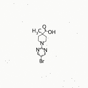 CC1(C(=O)O)CCN(c2ncc(Br)cn2)CC1